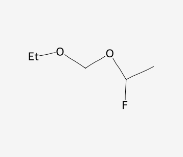 CCOCOC(C)F